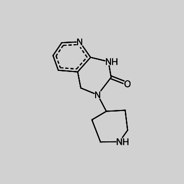 O=C1Nc2ncccc2CN1C1CCNCC1